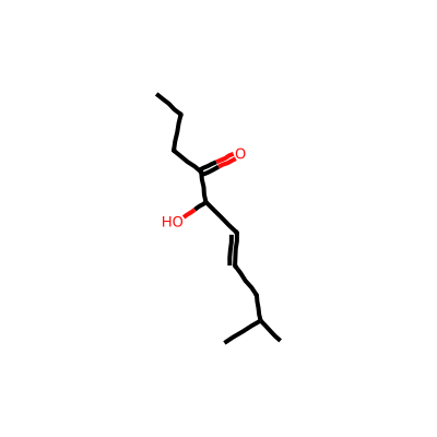 CCCC(=O)C(O)C=CCC(C)C